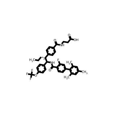 CCC[C@H](c1ccc(C(=O)NCCC(=O)O)cc1)C(NC(=O)c1ccc(-c2c(C)cc(C)cc2C)cc1F)c1ccc(OC(F)(F)F)cc1